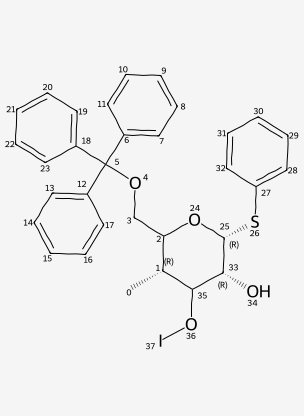 C[C@@H]1C(COC(c2ccccc2)(c2ccccc2)c2ccccc2)O[C@H](Sc2ccccc2)[C@H](O)C1OI